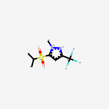 CC(C)S(=O)(=O)c1[c]c(C(F)(F)F)nn1C